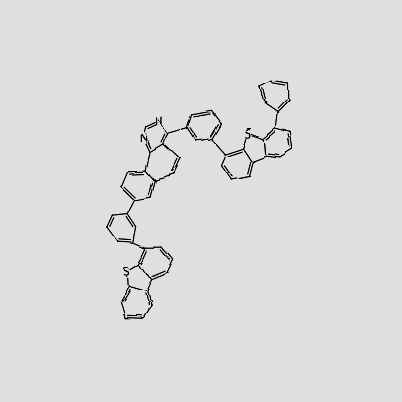 c1ccc(-c2cccc3c2sc2c(-c4cccc(-c5ncnc6c5ccc5cc(-c7cccc(-c8cccc9c8sc8ccccc89)c7)ccc56)c4)cccc23)cc1